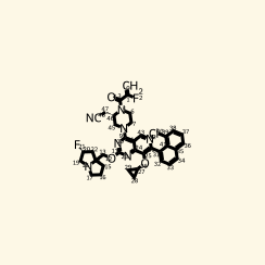 C=C(F)C(=O)N1CCN(c2nc(OCC34CCCN3C[C@H](F)C4)nc3c(OC4CC4)c(-c4cccc5cccc(Cl)c45)ncc23)C[C@@H]1CC#N